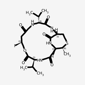 CC(C)[C@@H]1NC(=O)[C@@H]2NC(=O)[C@@H](CS[C@@H]2C)NC(=O)[C@@H](C(C)C)NC(=O)C[C@H](I)OC1=O